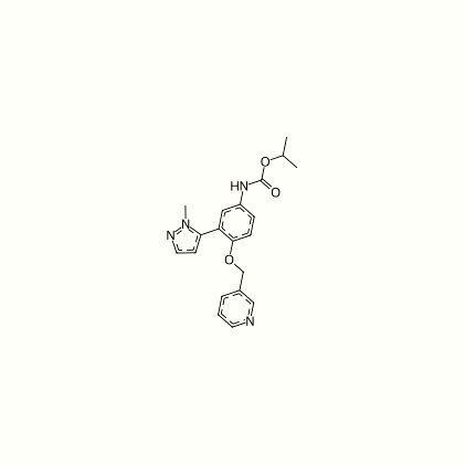 CC(C)OC(=O)Nc1ccc(OCc2cccnc2)c(-c2ccnn2C)c1